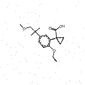 CCOc1ccc(C(C)(C)COC)cc1C1(C(=O)O)CC1